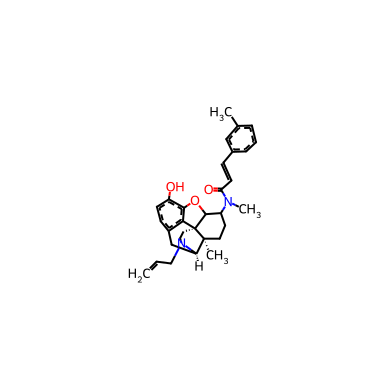 C=CCN1CC[C@]23c4c5ccc(O)c4OC2C(N(C)C(=O)/C=C/c2cccc(C)c2)CC[C@@]3(C)[C@H]1C5